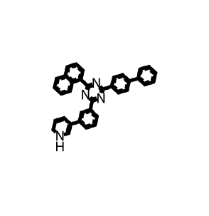 C1=CC(c2cccc(-c3nc(-c4ccc(-c5ccccc5)cc4)nc(-c4cccc5ccccc45)n3)c2)=CNC1